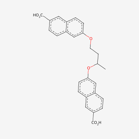 CC(CCOc1ccc2cc(C(=O)O)ccc2c1)Oc1ccc2cc(C(=O)O)ccc2c1